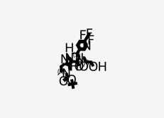 C[C@@H]1Cc2n[nH]c(C(=O)N(C[C@@H](O)CO)[C@@H](C)c3ccc(C(F)(F)F)nc3)c2CN1C(=O)OC(C)(C)C